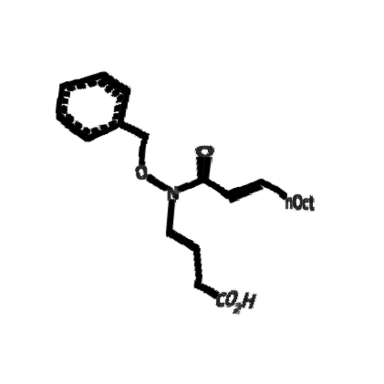 CCCCCCCCC=CC(=O)N(CCCC(=O)O)OCc1ccccc1